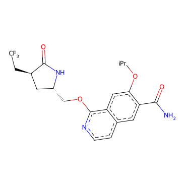 CC(C)Oc1cc2c(OC[C@@H]3C[C@@H](CC(F)(F)F)C(=O)N3)nccc2cc1C(N)=O